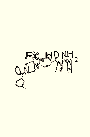 CS(=O)(=O)O.Cc1cccc(C(=O)N2CCN(c3ccc(C(=O)NC(=N)N)cc3C(F)(F)F)CC2)c1